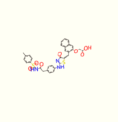 Cc1ccc(S(=O)(=O)NC(=O)Cc2ccc(NC3=NC(=O)C(=Cc4cc5ccccc5cc4OCC(=O)O)S3)cc2)cc1